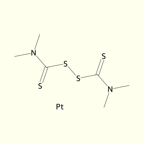 CN(C)C(=S)SSC(=S)N(C)C.[Pt]